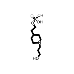 O=P(O)(O)OCCC1CCN(CCCO)CC1